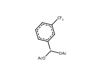 CC(=O)OI(OC(C)=O)c1cccc(C(F)(F)F)c1